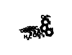 C=CC(=O)[O-].C=CC(=O)[O-].C=CC(=O)[O-].[Ce+3].c1cnc2c(c1)ccc1cccnc12